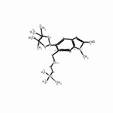 Cn1c(C=O)cc2cc(B3OC(C)(C)C(C)(C)O3)c(COCC[Si](C)(C)C)cc21